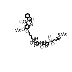 COc1cc2c(cc1OCCCCNC(=O)c1cc(NC(=O)c3cc(NC(=O)CCC(C)(C)SSC)cn3C)cn1C)N=C[C@@H]1Cc3ccccc3N1C2O